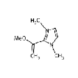 C=C(OC)c1n(C)cc[n+]1C